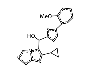 COc1ccccc1-c1ccc(C(O)c2c(C3CC3)sc3cncn23)s1